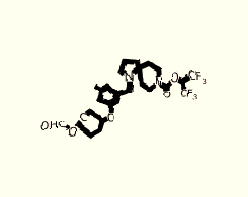 Cc1cc(CN2CCCC23CCN(C(=O)OC(C(F)(F)F)C(F)(F)F)CC3)cc(OC2CCC(OC=O)CC2)c1